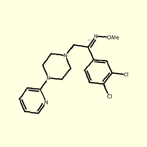 CO/N=C(/CN1CCN(c2ccccn2)CC1)c1ccc(Cl)c(Cl)c1